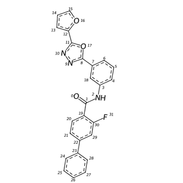 O=C(Nc1cccc(-c2nnc(-c3ccco3)o2)c1)c1ccc(-c2ccccc2)cc1F